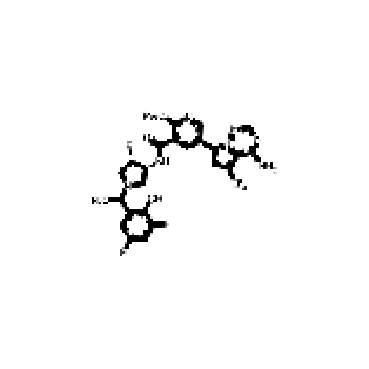 COc1ncc(-c2cc(C(F)(F)F)c3c(N)ncnn23)cc1C(=O)N[C@@H]1CN(C(C)c2cc(F)cc(F)c2O)C[C@@H]1F